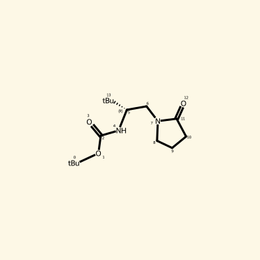 CC(C)(C)OC(=O)N[C@@H](CN1CCCC1=O)C(C)(C)C